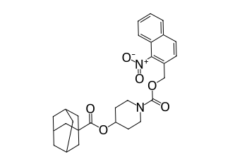 O=C(OCc1ccc2ccccc2c1[N+](=O)[O-])N1CCC(OC(=O)C23CC4CC(CC(C4)C2)C3)CC1